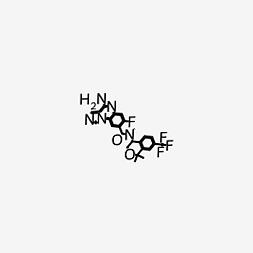 CN(C(=O)c1cc2c(cc1F)nc(N)c1cncn12)[C@@H]1COC(C)(C)c2cc(C(F)(F)F)ccc21